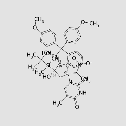 COc1ccc(C(c2ccccc2)(c2ccc(OC)cc2)C(O)[C@H]2O[C@@](C(C)[N+](=O)[O-])(n3cc(C)c(=O)[nH]c3=O)C[C@@]2(O)[Si](C)(C)C(C)(C)C)cc1